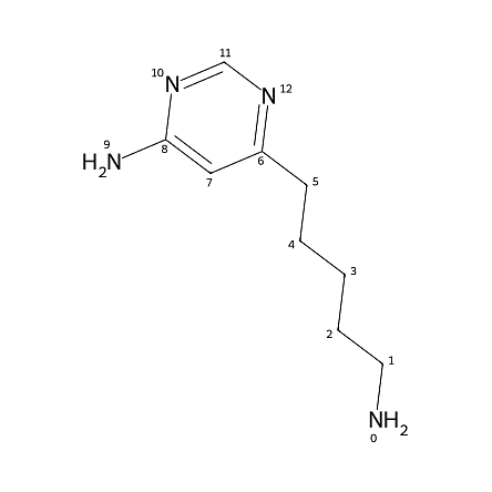 NCCCCCc1cc(N)ncn1